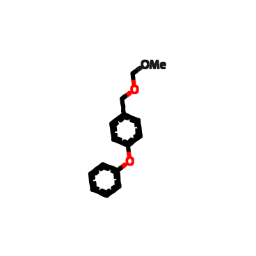 COCOCc1ccc(Oc2ccccc2)cc1